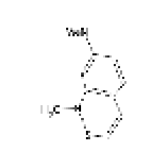 CNc1ccc2c(c1)N(C)SC=C2